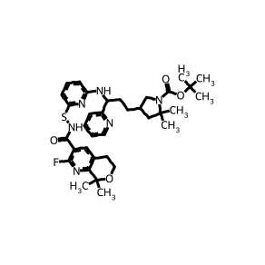 CC(C)(C)OC(=O)N1CC(CCC(Nc2cccc(SNC(=O)c3cc4c(nc3F)C(C)(C)OCC4)n2)c2ccccn2)CC1(C)C